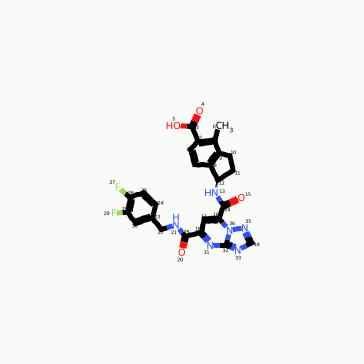 Cc1c(C(=O)O)ccc2c1CC[C@@H]2NC(=O)c1cc(C(=O)NCc2ccc(F)c(F)c2)nc2ncnn12